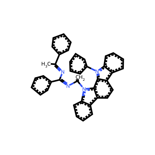 C=C(/N=C(\N=C(/C)c1ccccc1)c1ccccc1)n1c2ccccc2c2ccc3c4ccccc4n(-c4ccccc4)c3c21